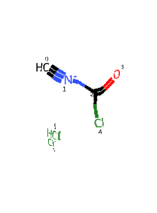 C#[N+]C(=O)Cl.Cl.[Cl-]